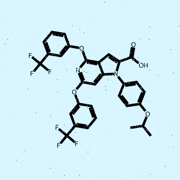 CC(C)Oc1ccc(-n2c(C(=O)O)cc3c(Oc4cccc(C(F)(F)F)c4)nc(Oc4cccc(C(F)(F)F)c4)cc32)cc1